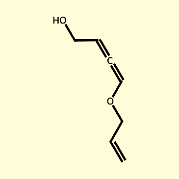 C=CCOC=C=CCO